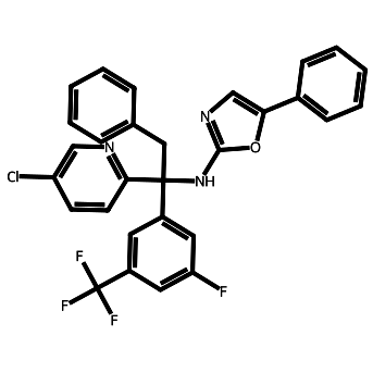 Fc1cc(C(F)(F)F)cc(C(Cc2ccccc2)(Nc2ncc(-c3ccccc3)o2)c2ccc(Cl)cn2)c1